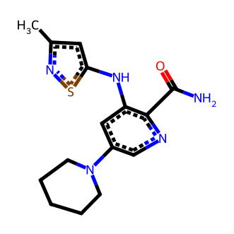 Cc1cc(Nc2cc(N3CCCCC3)cnc2C(N)=O)sn1